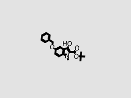 Cn1c(C(=O)OC(C)(C)C)c(O)c2cc(OCc3ccccc3)ccc21